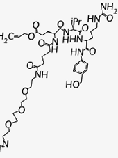 C=CCOC(=O)CC[C@H](NC(=O)CCCC(=O)NCCOCCOCCOCCN=[N+]=[N-])C(=O)N[C@H](C(=O)N[C@@H](CCCNC(N)=O)C(=O)Nc1ccc(CO)cc1)C(C)C